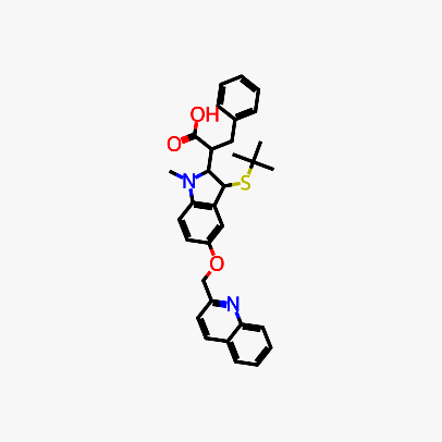 CN1c2ccc(OCc3ccc4ccccc4n3)cc2C(SC(C)(C)C)C1C(Cc1ccccc1)C(=O)O